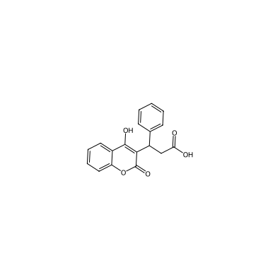 O=C(O)CC(c1ccccc1)c1c(O)c2ccccc2oc1=O